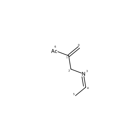 C=C(C/N=C\C)C(C)=O